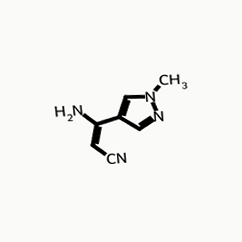 Cn1cc(/C(N)=C\C#N)cn1